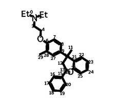 CCN(CC)CCOc1ccc(C(C)(CC(=O)c2ccccc2)c2ccccc2)cc1C